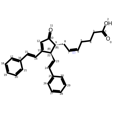 O=C(O)CCC/C=C\C[C@H]1C(=O)C=C(C=Cc2ccccc2)[C@@H]1C=Cc1ccccc1